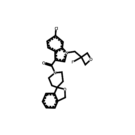 O=C(c1cn(CC2(F)COC2)c2cc(Cl)ccc12)N1CCC2(CC1)OCc1ccccc12